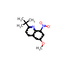 COc1cc([N+](=O)[O-])c2nc(C(C)(C)C)ccc2c1